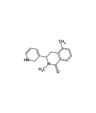 Cc1cccc2c1CC(C1=CC=CNC1)N(C)C2=O